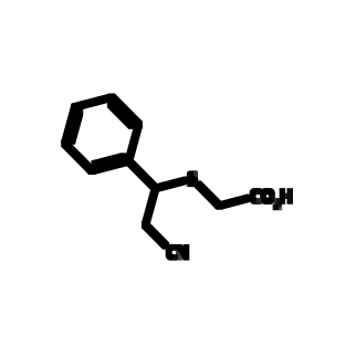 N#CCC(SCC(=O)O)c1ccccc1